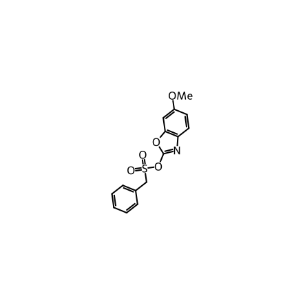 COc1ccc2nc(OS(=O)(=O)Cc3ccccc3)oc2c1